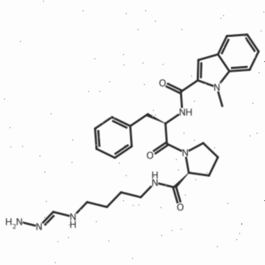 Cn1c(C(=O)N[C@H](Cc2ccccc2)C(=O)N2CCC[C@H]2C(=O)NCCCCNC=NN)cc2ccccc21